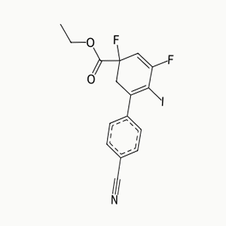 CCOC(=O)C1(F)C=C(F)C(I)=C(c2ccc(C#N)cc2)C1